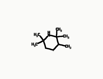 CC1[CH]CC(C)(C)NC1(C)C